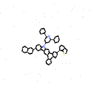 c1ccc(-c2cc(-n3c4ccc(-c5ccc6ccccc6c5)cc4c4cc5c6ccccc6c6ccc(-c7cccc8ccsc78)cc6c5cc43)cc(-c3ccccc3)n2)cc1